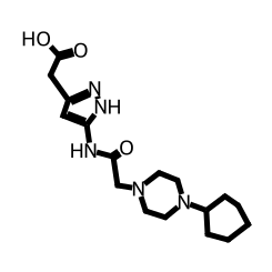 O=C(O)Cc1cc(NC(=O)CN2CCN(C3CCCCC3)CC2)[nH]n1